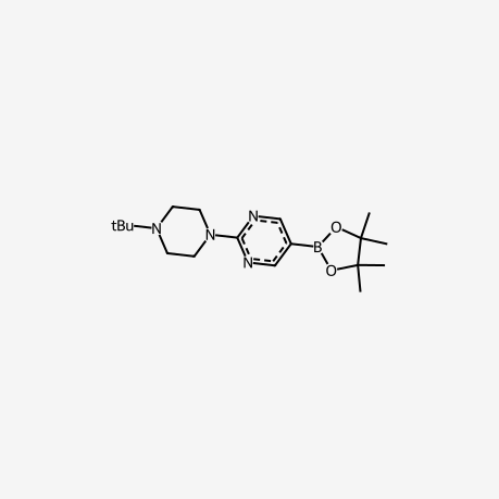 CC(C)(C)N1CCN(c2ncc(B3OC(C)(C)C(C)(C)O3)cn2)CC1